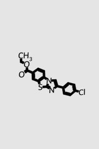 CCOC(=O)c1ccc2c(c1)sc1nc(-c3ccc(Cl)cc3)cn12